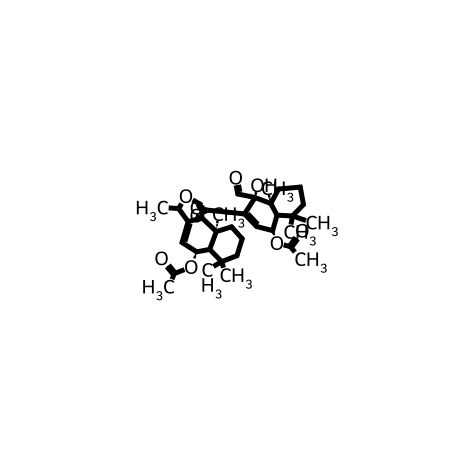 CC(=O)O[C@@H]1C=C(C2OC3OC(C)C4=C[C@@H](OC(C)=O)C5C(C)(C)CCC[C@]5(C)[C@]43O2)[C@@](O)(C=O)[C@@]2(C)CCCC(C)(C)C12